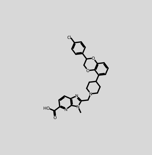 Cn1c(CN2CCC(c3cccc4c3OCC(c3ccc(Cl)cc3)O4)CC2)nc2ccc(C(=O)O)nc21